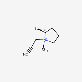 C#CC[N+]1(C)CCC[C@@H]1CC